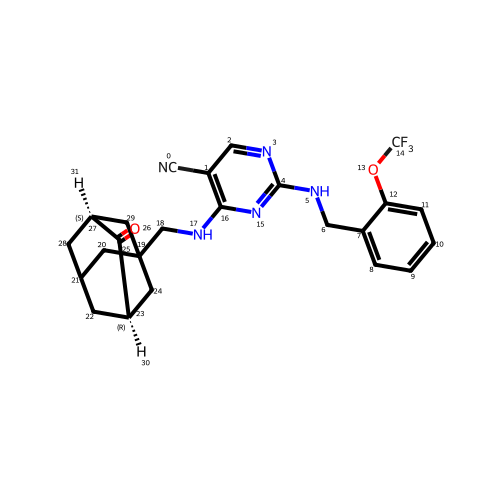 N#Cc1cnc(NCc2ccccc2OC(F)(F)F)nc1NCC12CC3C[C@H](C1)C(=O)[C@@H](C3)C2